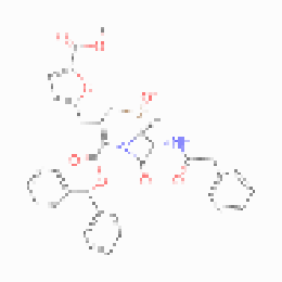 COC(=O)c1ccc(CC2=C(C(=O)OC(c3ccccc3)c3ccccc3)N3C(=O)[C@@H](NC(=O)Cc4ccccc4)[C@H]3[S+]([O-])C2)o1